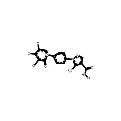 CCNC(=O)c1cnn(-c2ccc(-n3cc(Cl)c(Cl)c(Cl)c3=O)cc2)c1C(F)(F)F